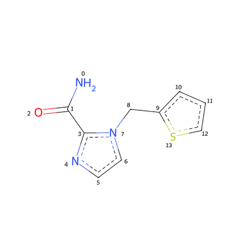 NC(=O)c1nccn1Cc1cccs1